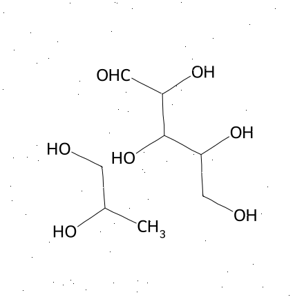 CC(O)CO.O=CC(O)C(O)C(O)CO